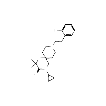 CC1(C)OC2(CCN(CCc3ccccc3F)CC2)CN(C2CC2)C1=O